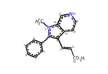 Cn1c(-c2ccccc2)c(C=CC(=O)O)c2ccncc21